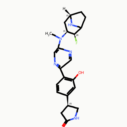 CN(c1cnc(-c2ccc([C@H]3CNC(=O)C3)cc2O)cn1)[C@H]1C[C@@H]2CCC(N2)[C@H]1F